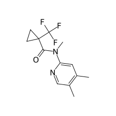 Cc1cnc(N(C)C(=O)C2(C(F)(F)F)CC2)cc1C